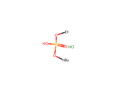 CCCCOP(=O)(O)OCC.Cl